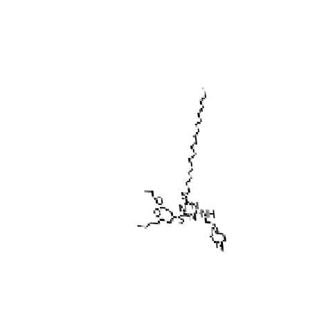 CCCCCCCCCCCCCCCCCCSc1nc(NCCN2CCN(C)CC2)nc(SC(CCCCCC)CC(=O)OCCC)n1